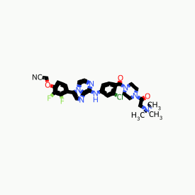 C[N+](C)(C)CC(=O)N1CCN(C(=O)c2ccc(Nc3nccn4c(-c5ccc(OCC#N)c(F)c5F)cnc34)cc2Cl)CC1